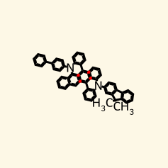 CC1(C)c2ccccc2-c2ccc(N(c3ccccc3)c3ccccc3-c3ccc(-c4ccccc4N(c4ccc(-c5ccccc5)cc4)c4cccc5ccccc45)cc3)cc21